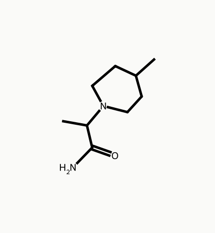 CC1CCN(C(C)C(N)=O)CC1